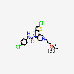 CC(C)(C)[Si](C)(C)OCCCN1CC[C@@H](NC(=O)Nc2ccc(Cl)cc2)[C@H](c2ccc(Cl)s2)C1